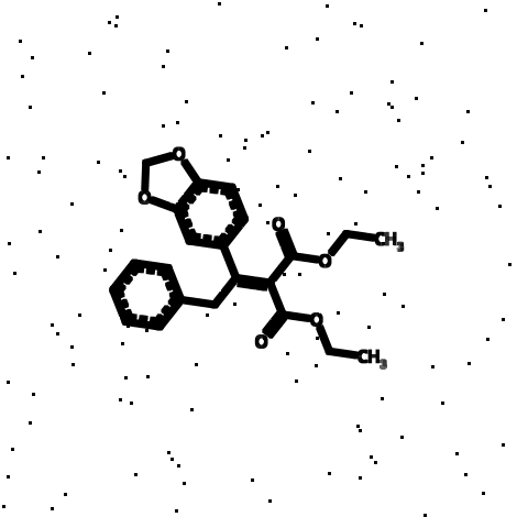 CCOC(=O)C(C(=O)OCC)=C(Cc1ccccc1)c1ccc2c(c1)OCO2